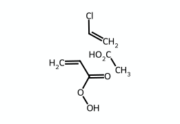 C=CC(=O)OO.C=CCl.CC(=O)O